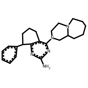 Nc1nc2c(c(N3CCN4CCCCCC4C3)n1)CCCC2c1ccccc1